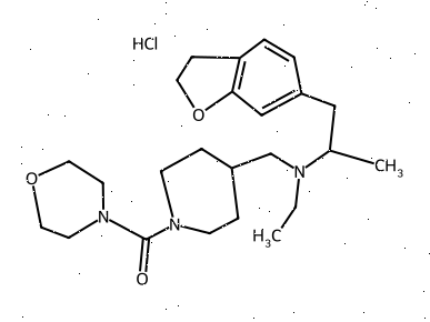 CCN(CC1CCN(C(=O)N2CCOCC2)CC1)C(C)Cc1ccc2c(c1)OCC2.Cl